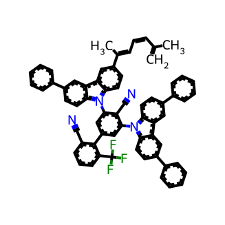 C=C(C)/C=C\C=C(/C)c1ccc2c(c1)c1cc(-c3ccccc3)ccc1n2-c1cc(-c2c(C#N)cccc2C(F)(F)F)cc(-n2c3ccc(-c4ccccc4)cc3c3cc(-c4ccccc4)ccc32)c1C#N